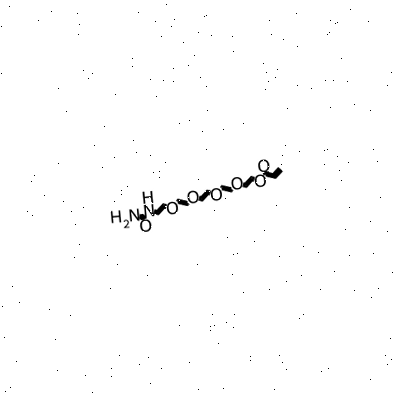 C=CC(=O)OCCOCCOCCOCCOCCNC(N)=O